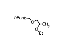 CCCCCCOCC(C)OCC